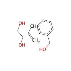 C=CC.OCCO.OCc1ccccc1